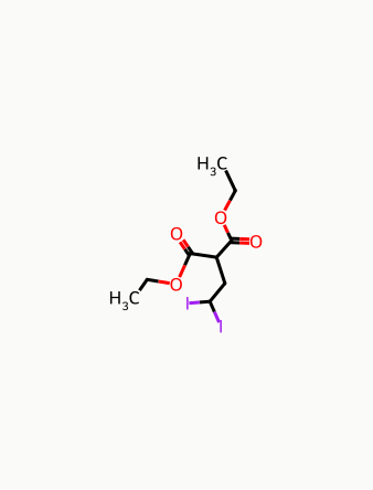 CCOC(=O)C(CC(I)I)C(=O)OCC